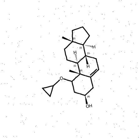 C[C@@]12CCC[C@H]1[C@@H]1CC=C3C[C@@H](O)CC(OC4CC4)[C@]3(C)[C@H]1CC2